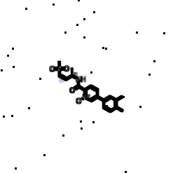 Cc1ccc(-c2ccc(C(=O)N[C@H](C)/C=C\S(C)(=O)=O)[n+]([O-])c2)cc1C